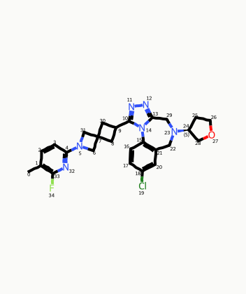 Cc1ccc(N2CC3(CC(c4nnc5n4-c4ccc(Cl)cc4CN([C@H]4CCOC4)C5)C3)C2)nc1F